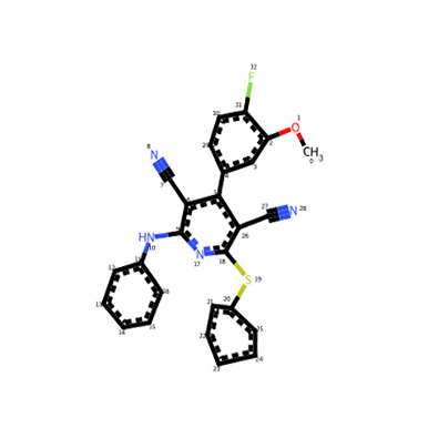 COc1cc(-c2c(C#N)c(Nc3ccccc3)nc(Sc3ccccc3)c2C#N)ccc1F